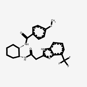 CSc1ccc(C(=O)N[C@H]2CCCC[C@H]2NC(=O)Cc2nc3c(C(F)(F)F)cccc3[nH]2)cc1